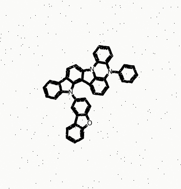 c1ccc(N2c3ccccc3-n3c4ccc5c6ccccc6n(-c6ccc7oc8ccccc8c7c6)c5c4c4cccc2c43)cc1